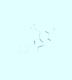 Cc1c(F)c(N2CCN(C)CC2)cc2c1c(=O)c(OC(=O)O)cn2C1CC1